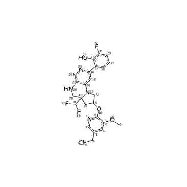 COc1cc(CCl)cnc1OC1CN2c3cc(-c4cccc(F)c4O)nnc3NCC2(C(F)F)C1